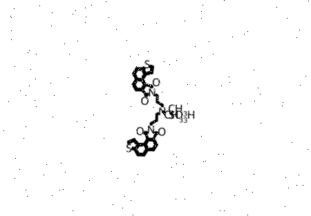 CN(CCCN1C(=O)c2ccc3ccc4sccc4c3c2C1=O)CCCN1C(=O)c2ccc3ccc4sccc4c3c2C1=O.CS(=O)(=O)O